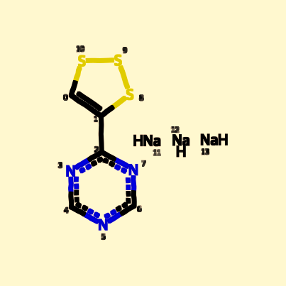 C1=C(c2ncncn2)SSS1.[NaH].[NaH].[NaH]